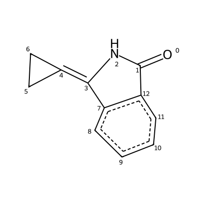 O=C1NC(=C2CC2)c2ccccc21